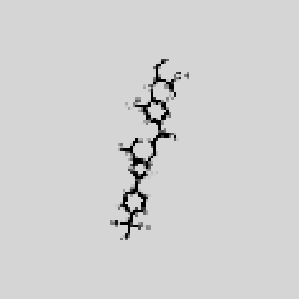 CCC(Oc1ccc(C(=O)CCc2sc(-c3ccc(C(F)(F)F)cc3)nc2C(C)C)cc1Cl)C(=O)O